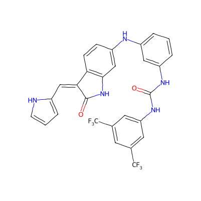 O=C(Nc1cccc(Nc2ccc3c(c2)NC(=O)/C3=C\c2ccc[nH]2)c1)Nc1cc(C(F)(F)F)cc(C(F)(F)F)c1